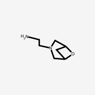 NCCN1CC2CC(C1)O2